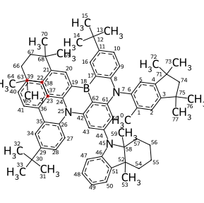 Cc1cc2c(cc1N1c3ccc(C(C)(C)C)cc3B3c4cc5c(cc4N(c4ccc(C(C)(C)C)cc4-c4ccccc4)c4cc(N6c7ccccc7C7(C)CCCCC67C)cc1c43)C(C)(C)CCC5(C)C)C(C)(C)CC2(C)C